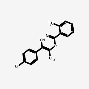 N#CC(=C(OC(=O)c1ccccc1C(F)(F)F)C(F)(F)F)c1ccc(Br)cc1